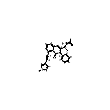 C=C(C)N[C@@H](C)c1cc2cccc(C#Cc3cnn(C)c3)c2c(=O)n1-c1ccccc1